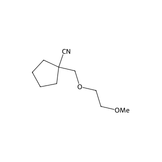 COCCOCC1(C#N)CCCC1